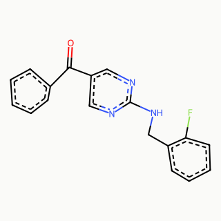 O=C(c1ccccc1)c1cnc(NCc2ccccc2F)nc1